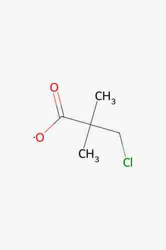 CC(C)(CCl)C([O])=O